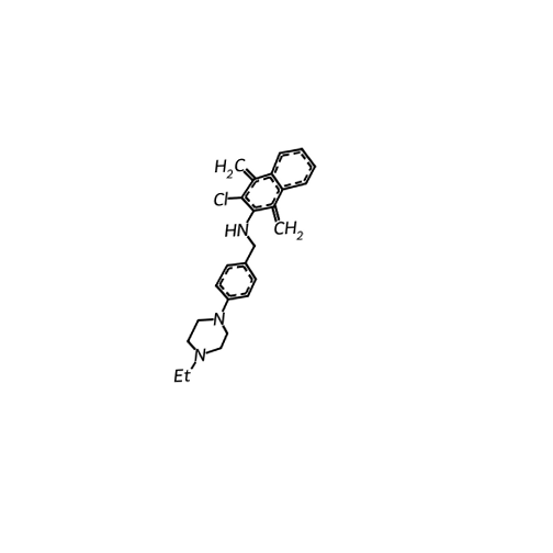 C=c1c(Cl)c(NCc2ccc(N3CCN(CC)CC3)cc2)c(=C)c2ccccc12